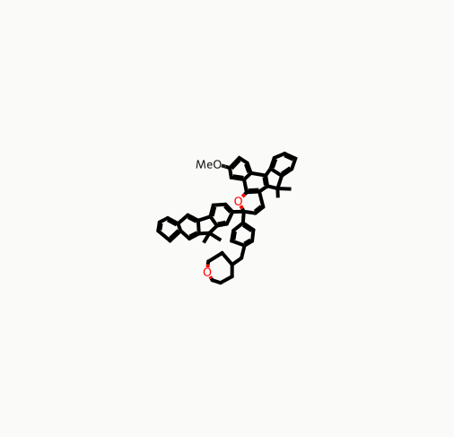 COc1ccc2c3c(c4c(c2c1)OC(c1ccc(CC2CCCOCC2)cc1)(c1ccc2c(c1)C(C)(C)c1cc5ccccc5cc1-2)C=C4)C(C)(C)c1ccccc1-3